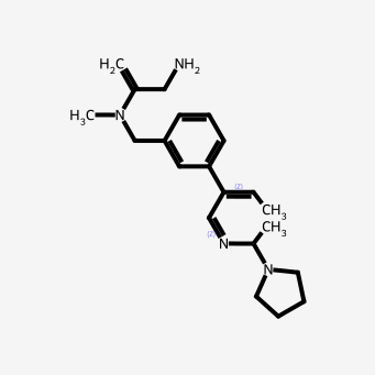 C=C(CN)N(C)Cc1cccc(C(/C=N\C(C)N2CCCC2)=C/C)c1